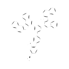 CC1(C)c2cc(C#N)ccc2-c2ccc(-c3cc(-c4cc5ccccc5c5c4oc4ccc6ccccc6c45)cc(-c4cc5ccccc5c5c4oc4ccc6ccccc6c45)c3)cc21